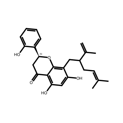 C=C(C)C(CC=C(C)C)Cc1c(O)cc(O)c2c1O[C@H](c1ccccc1O)CC2=O